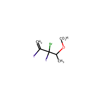 C=C(I)C(Br)(I)C(C)OC(=O)O